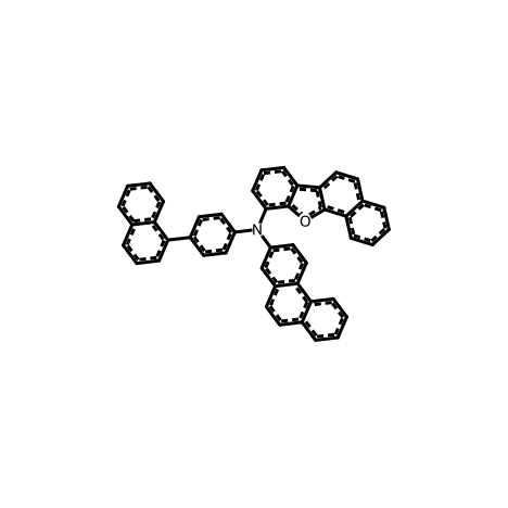 c1ccc2c(-c3ccc(N(c4ccc5c(ccc6ccccc65)c4)c4cccc5c4oc4c6ccccc6ccc54)cc3)cccc2c1